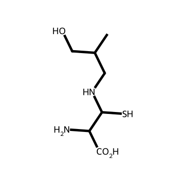 CC(CO)CNC(S)C(N)C(=O)O